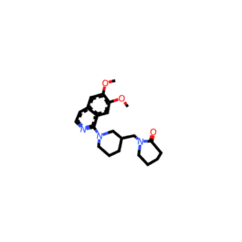 COc1cc2ccnc(N3CCCC(CN4CCCCC4=O)C3)c2cc1OC